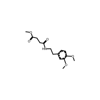 COC(=O)CCC(=O)NCCc1ccc(OC)c(OC)c1